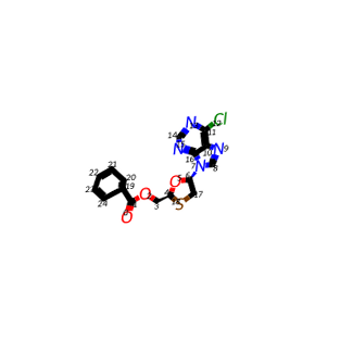 O=C(OC[C@H]1O[C@@H](n2cnc3c(Cl)ncnc32)CS1)c1ccccc1